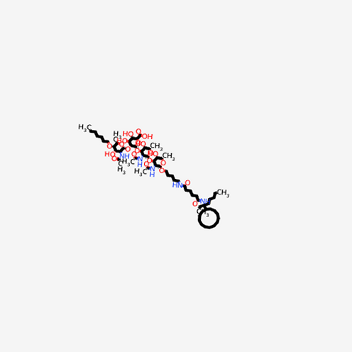 CCCCCCCO[C@@H]1C(C)O[C@@H](OC2C(O)[C@H](O)C(C(=O)O)O[C@H]2OC2C(NC(C)=O)[C@H](OC3C(NC(C)=O)[C@H](OCCCCCNC(=O)CCCCC(=O)NC(CC)(CCCCC)C4CCCCCCCCCCCC4)OC(C)[C@@H]3O)OC(C)[C@H]2O)C(NC(C)=O)C1O